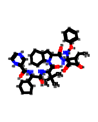 CCC1C(=O)C(=O)C1(NOc1ccccc1)NC(=O)C1CC2CCCCC2N1C(=O)C(NC(=O)C(NC(=O)c1cnccn1)C1CCCCC1)C(C)(C)C